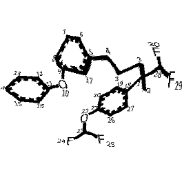 CC(CCCc1cccc(Oc2ccccc2)c1)(c1ccc(OC(F)F)cc1)C(F)F